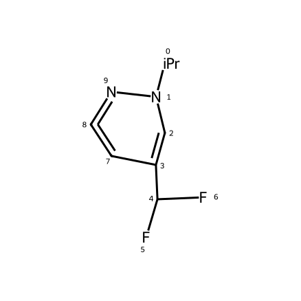 CC(C)N1C=C(C(F)F)C=C=N1